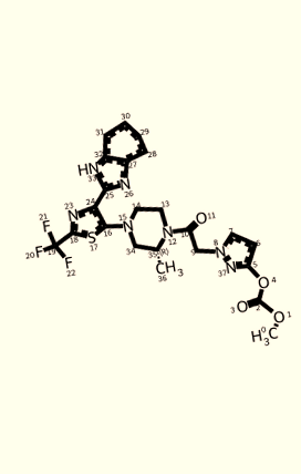 COC(=O)Oc1ccn(CC(=O)N2CCN(c3sc(C(F)(F)F)nc3-c3nc4ccccc4[nH]3)C[C@H]2C)n1